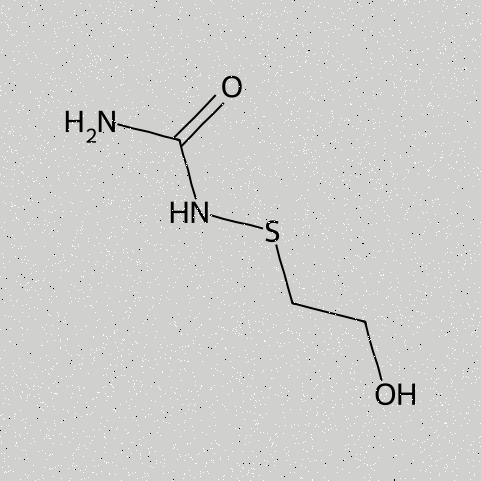 NC(=O)NSCCO